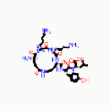 CC(C)C[C@H](NC(=O)[C@H](Cc1ccc(O)cc1)NC(=O)[C@@H]1CCCNC(=O)CC[C@H](N)C(=O)N[C@@H](CCCCN)C(=O)N[C@@H](CCCCN)C(=O)N1)C(=O)O